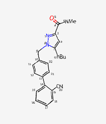 CCCCc1cc(C(=O)NC)nn1Cc1ccc(-c2ccccc2C#N)cc1